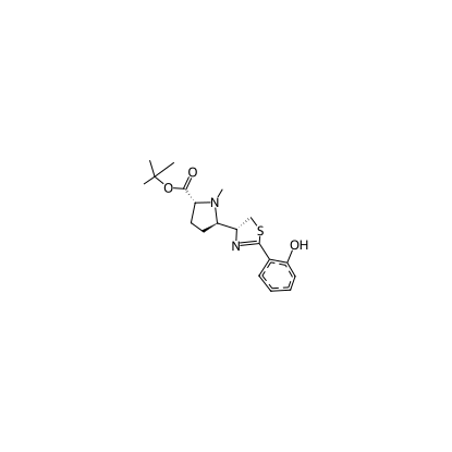 CN1[C@@H](C(=O)OC(C)(C)C)CC[C@@H]1[C@@H]1CSC(c2ccccc2O)=N1